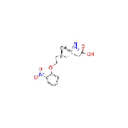 C[C@H](CCOc1ccccc1[N+](=O)[O-])C[C@H](CN)CC(=O)O